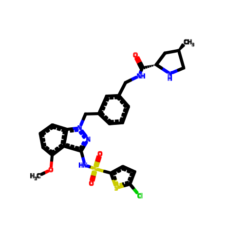 COc1cccc2c1c(NS(=O)(=O)c1ccc(Cl)s1)nn2Cc1cccc(CNC(=O)[C@@H]2C[C@@H](C)CN2)c1